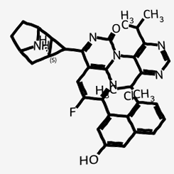 CC(C)c1ncnc(C(C)C)c1-n1c(=O)nc(C2C3C4CCC(C[C@H]23)N4)c2cc(F)c(-c3cc(O)cc4cccc(Cl)c34)nc21